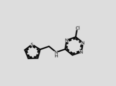 Clc1nncc(NCc2cccs2)n1